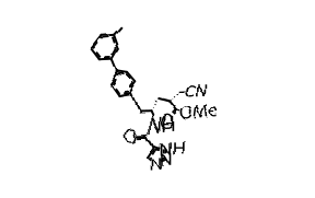 COC(=O)[C@@H](CC#N)C[C@@H](Cc1ccc(-c2cccc(C)c2)cc1)NC(=O)c1cnn[nH]1